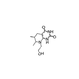 CC1Cc2c([nH]c(=O)[nH]c2=O)N(CCO)C1C